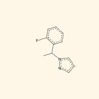 CC(c1ccccc1F)n1c[c]cn1